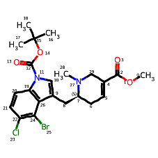 COC(=O)C1=CC[C@@H](Cc2cn(C(=O)OC(C)(C)C)c3ccc(Cl)c(Br)c23)N(C)C1